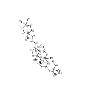 C[C@]12CC[C@H]3[C@@H](CC=C4C[C@](O)(C(F)(F)F)CC[C@@]43C)[C@@H]1CC[C@@H]2CCCC1(O)CCC(F)(F)CC1